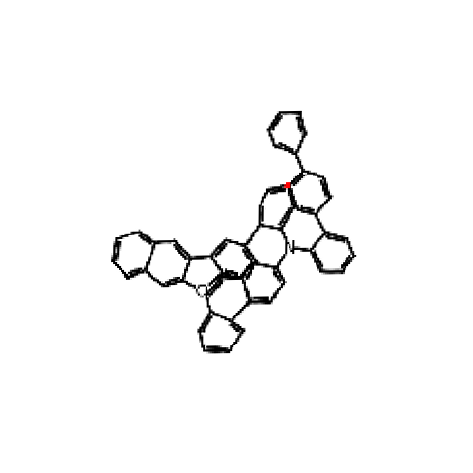 c1ccc(-c2ccc(-c3ccccc3N(c3ccc4c(ccc5ccccc54)c3)c3ccccc3-c3ccc4oc5cc6ccccc6cc5c4c3)cc2)cc1